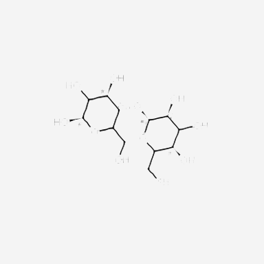 OCC1O[C@@H](O)C(O)[C@@H](O)[C@@H]1O[C@@H]1OC(CS)[C@H](O)C(O)[C@@H]1O